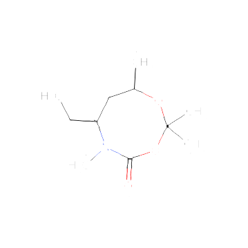 CCC1CC(C)OC(C)(C)OC(=O)N1C